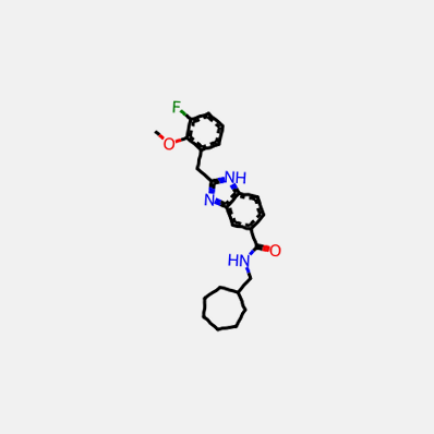 COc1c(F)cccc1Cc1nc2cc(C(=O)NCC3CCCCCC3)ccc2[nH]1